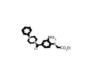 CCOC(=O)CSc1ccc(C(=O)N2CCN(c3ccccc3)CC2)cc1[N+](=O)[O-]